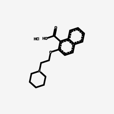 Cl.O=C(O)c1c(OCCN2CCCCC2)ccc2ccccc12